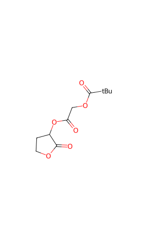 CC(C)(C)C(=O)OCC(=O)OC1CCOC1=O